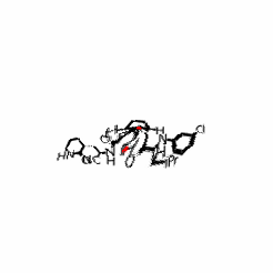 CC(C)C[C@H](Nc1cccc(Cl)c1)C(=O)N1[C@H]2CC[C@@H]([C@H]1C(=O)N[C@@H](C#N)C[C@H]1CCCNC1=O)C(F)(F)C2